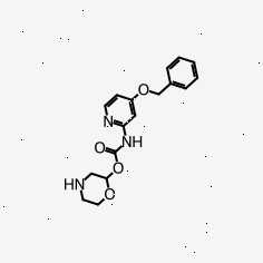 O=C(Nc1cc(OCc2ccccc2)ccn1)OC1CNCCO1